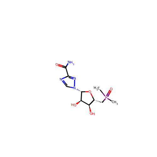 CP(C)(=O)C[C@H]1O[C@@H](n2cnc(C(N)=O)n2)[C@H](O)[C@@H]1O